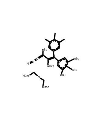 CCCCCCCCC(C(=C=[N+]=[N-])CCCC)=C(c1cc(C)c(C)c(C)c1)c1cc(CCCC)c(CCCC)c(CCCC)c1.CCCCCCCCCC[CH2][Ni][CH2]CCCCCCCCCC